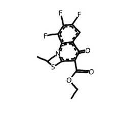 CCOC(=O)c1c2n(c3c(F)c(F)c(F)cc3c1=O)C(C)S2